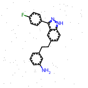 Nc1cccc(CCc2ccc3[nH]nc(-c4ccc(F)cc4)c3c2)c1